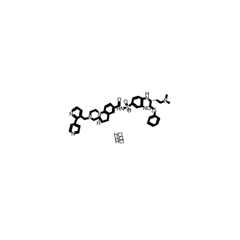 CN(C)CC[C@H](CSc1ccccc1)Nc1ccc(S(=O)(=O)NC(=O)c2ccc3c(c2)CC[C@H]2CN(Cc4cccnc4-c4ccncc4)CCN32)cc1[N+](=O)[O-].Cl.Cl.Cl